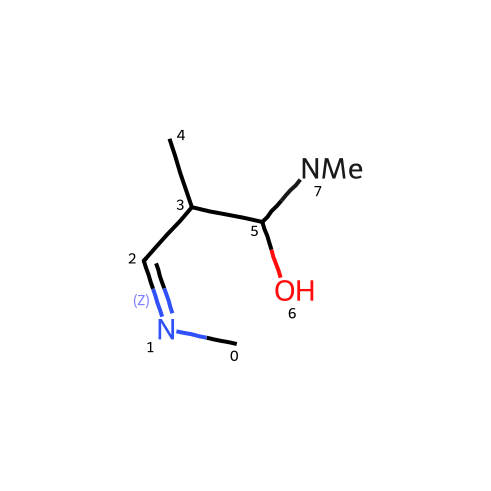 C/N=C\C(C)C(O)NC